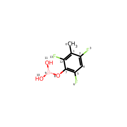 Cc1c(F)cc(F)c(OB(O)O)c1F